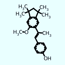 COc1cc2c(cc1/C(C)=C/c1ccc(O)cc1)C(C)(C)CC2(C)C